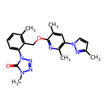 Cc1ccn(-c2cc(C)c(OCc3c(C)cccc3-n3nnn(C)c3=O)nc2C)n1